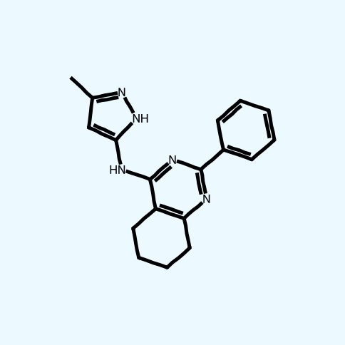 Cc1cc(Nc2nc(-c3ccccc3)nc3c2CCCC3)[nH]n1